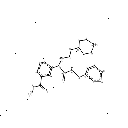 COC(=O)c1cccc(C(NCCC2CCNCC2)C(=O)NCc2ccncc2)c1